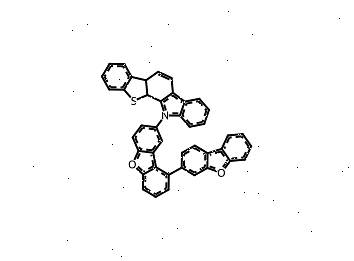 C1=CC2c3ccccc3SC2c2c1c1ccccc1n2-c1ccc2oc3cccc(-c4ccc5c(c4)oc4ccccc45)c3c2c1